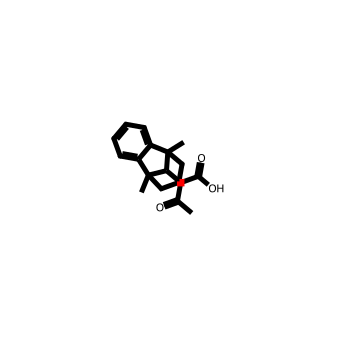 CC(=O)C(C(=O)O)C1C2(C)CCCC1(C)c1ccccc12